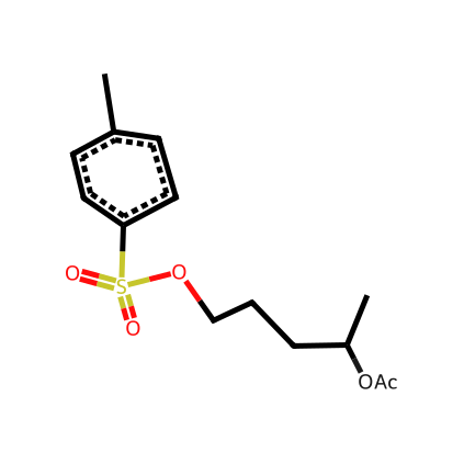 CC(=O)OC(C)CCCOS(=O)(=O)c1ccc(C)cc1